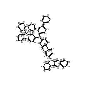 c1ccc(-c2ccc(N(c3ccc4c(c3)C(c3ccccc3)(c3ccccc3)c3ccccc3-4)c3ccc4c(c3)sc3cc(-n5c6ccccc6c6cc7ccccc7cc65)ccc34)cc2)cc1